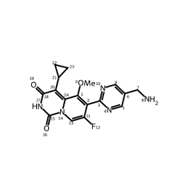 COc1c(-c2ncc(CN)cn2)c(F)cn2c(=O)[nH]c(=O)c(C3CC3)c12